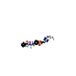 CCN1CCN(CCCS(=O)(=O)c2ccc3nc(NC(=O)NC(=O)c4ccccc4Cl)sc3c2)CC1